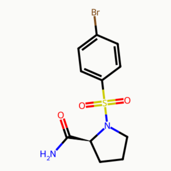 NC(=O)[C@@H]1CCCN1S(=O)(=O)c1ccc(Br)cc1